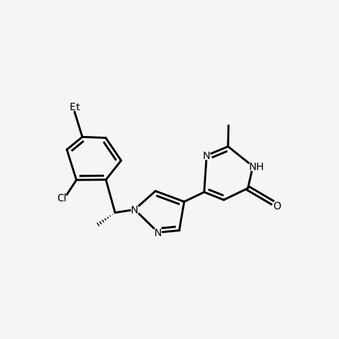 CCc1ccc([C@@H](C)n2cc(-c3cc(=O)[nH]c(C)n3)cn2)c(Cl)c1